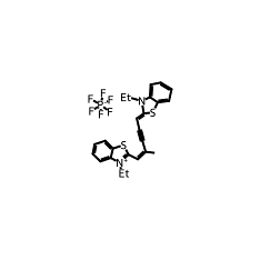 CCN1/C(=C/C#C/C(C)=C\c2sc3ccccc3[n+]2CC)Sc2ccccc21.F[P-](F)(F)(F)(F)F